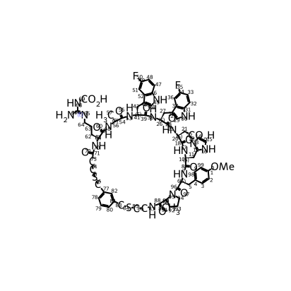 COc1ccc(C[C@@H]2NC(=O)[C@H](Cc3ncc[nH]3)NC(=O)[C@H](CC(=O)O)NC(=O)[C@H](Cc3c[nH]c4ccc(F)cc34)NC(=O)[C@H](Cc3c[nH]c4ccc(F)cc34)NC(=O)[C@@H](C)NC(=O)[C@H](CCC/N=C(\N)NC(=O)O)NC(=O)CCSCc3cccc(c3)CSCCNC(=O)[C@]3(C)CCCN3C2=O)cc1